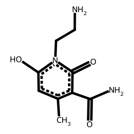 Cc1cc(O)n(CCN)c(=O)c1C(N)=O